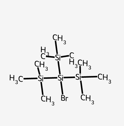 C[Si](C)(C)[Si](Br)([Si](C)(C)C)[Si](C)(C)C